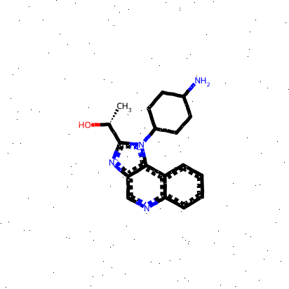 C[C@@H](O)c1nc2cnc3ccccc3c2n1C1CCC(N)CC1